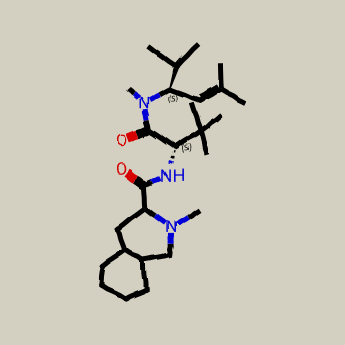 CC(C)=C[C@H](C(C)C)N(C)C(=O)[C@@H](NC(=O)C1CC2CCCCC2CN1C)C(C)(C)C